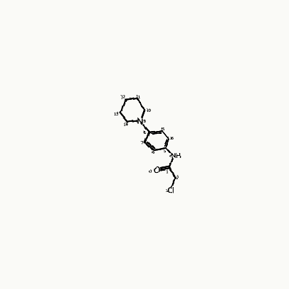 O=C(CCl)Nc1ccc(N2CCCCC2)cc1